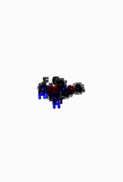 CC(C)C[C@H](NC(=O)N1CCCCCC1)C(=O)N[C@@H](Cc1ccc(OCc2ccccc2)cc1)C(=O)Nc1cccc(C(F)(F)F)c1